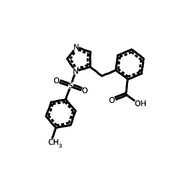 Cc1ccc(S(=O)(=O)n2cncc2Cc2ccccc2C(=O)O)cc1